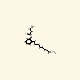 CCCCCCCCCc1ccccc1OC(=O)CCS